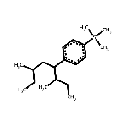 CCC(C)CC(c1ccc(S(C)(C)C)cc1)C(C)CC